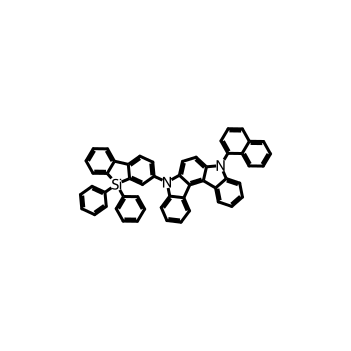 c1ccc([Si]2(c3ccccc3)c3ccccc3-c3ccc(-n4c5ccccc5c5c6c7ccccc7n(-c7cccc8ccccc78)c6ccc54)cc32)cc1